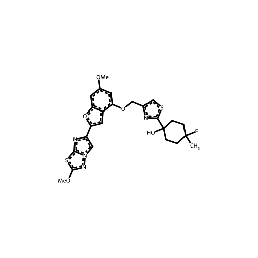 COc1cc(OCc2csc(C3(O)CCC(C)(F)CC3)n2)c2cc(-c3cn4nc(OC)sc4n3)oc2c1